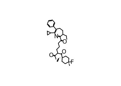 C=C[C@]1(C(=O)C(CCCC(=O)C2=NC(C3CC3)=C(c3ccccc3)CCC2CC)C(C)=O)CC[C@](C)(F)CC1